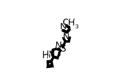 Cc1ccc(N2CCC(c3nc4c(s3)CCC(C3=CC=C3)NC4)C2)cn1